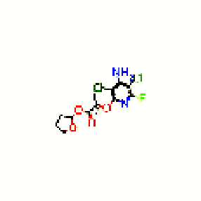 C[C@@H](Oc1nc(F)c(Cl)c(N)c1Cl)C(=O)OC1CCCO1